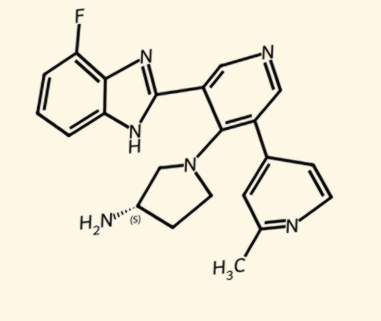 Cc1cc(-c2cncc(-c3nc4c(F)cccc4[nH]3)c2N2CC[C@H](N)C2)ccn1